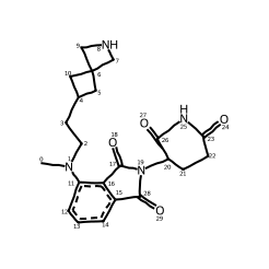 CN(CCC1CC2(CNC2)C1)c1cccc2c1C(=O)N(C1CCC(=O)NC1=O)C2=O